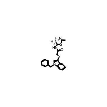 CC(N)SC(N)NC(=O)CSc1cn(Cc2ccccc2)c2ccccc12